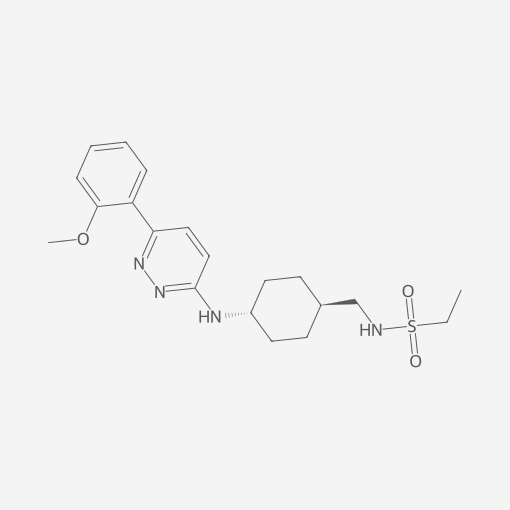 CCS(=O)(=O)NC[C@H]1CC[C@H](Nc2ccc(-c3ccccc3OC)nn2)CC1